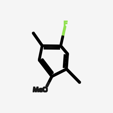 COc1cc(C)c(F)cc1C